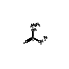 O=[Si](O)O.[Fe].[MgH2]